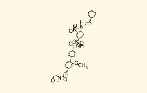 COc1cc(/C=C/C(=O)N2CCOCC2)ccc1-c1ccc(C(=O)NS(=O)(=O)c2ccc(NCCSc3ccccc3)c([N+](=O)[O-])c2)cc1